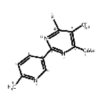 COc1nc(-c2ccc(C(F)(F)F)nc2)nc(F)c1C(F)(F)F